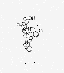 C[C@H](CC(=O)O)C(=O)N1CCc2c(Cl)ccc(OCc3noc4ccccc34)c2C1N1CCCC1=O